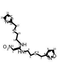 O=[N+]([O-])C=C(NCCSCc1ccon1)NCCSCc1nccs1